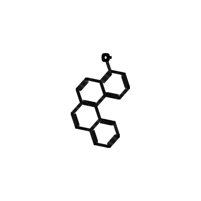 [O]c1cccc2c1ccc1ccc3ccccc3c12